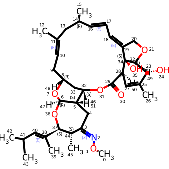 CO/N=C1/C[C@@H]2[C@H](O[C@@H]3C/C=C(\C)C[C@@H](C)/C=C/C=C4\CO[C@@H]5[C@H](O)C(C)=C[C@@H](C(=O)O[C@H]2C3)[C@]45O)O[C@H](/C(C)=C/C(C)C)[C@H]1C